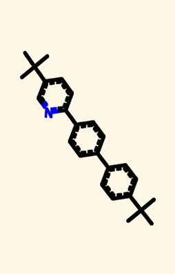 CC(C)(C)c1ccc(-c2ccc(-c3ccc(C(C)(C)C)cn3)cc2)cc1